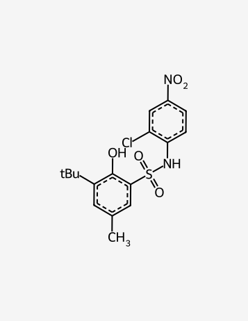 Cc1cc(C(C)(C)C)c(O)c(S(=O)(=O)Nc2ccc([N+](=O)[O-])cc2Cl)c1